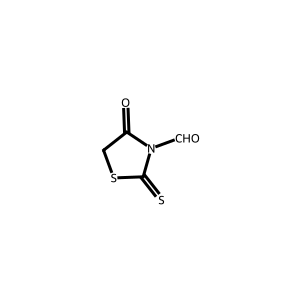 O=CN1C(=O)CSC1=S